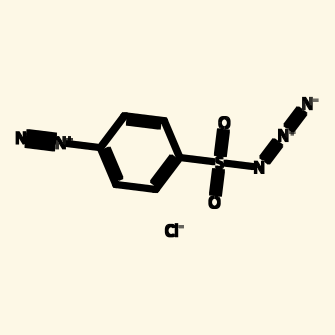 N#[N+]c1ccc(S(=O)(=O)N=[N+]=[N-])cc1.[Cl-]